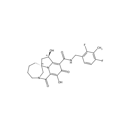 Cc1c(F)ccc(CNC(=O)c2c3n4c(c(O)c2=O)C(=O)N2CCCC[C@@]4(C[C@H]3O)C2)c1F